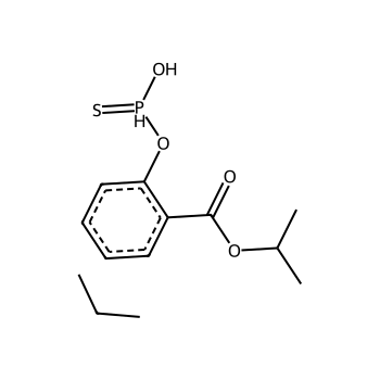 CC(C)OC(=O)c1ccccc1O[PH](O)=S.CCC